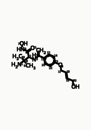 C=C(N[C@H](C(=O)NO)C(C)(C)N)c1ccc(OC/C=C/CO)cc1